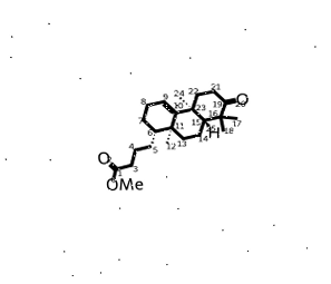 COC(=O)CCC[C@@H]1CCC=C2[C@@]1(C)CC[C@H]1C(C)(C)C(=O)CC[C@]21C